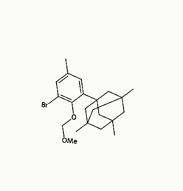 COCOc1c(Br)cc(C)cc1C12CC3(C)CC(C)(CC(C)(C3)C1)C2